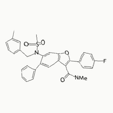 CNC(=O)c1c(-c2ccc(F)cc2)oc2cc(N(Cc3cccc(C)c3)S(C)(=O)=O)c(-c3ccccc3)cc12